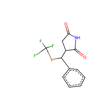 O=C1CC(C(SC(F)(F)F)c2ccccc2)C(=O)N1